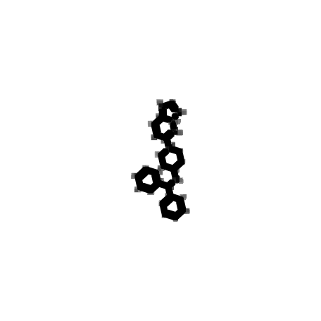 c1ccc(C(OC2CCN(c3ccc4ncnn4n3)CC2)c2ccccc2)cc1